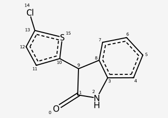 O=C1Nc2ccccc2C1c1ccc(Cl)s1